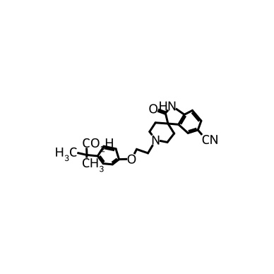 CC(C)(C(=O)O)c1ccc(OCCN2CCC3(CC2)C(=O)Nc2ccc(C#N)cc23)cc1